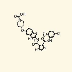 Cc1ccc(Cl)cc1NC(=O)c1nc[nH]c1C(=O)Nc1nc2ccc(OC3CCN(C(=O)O)CC3)cc2[nH]1